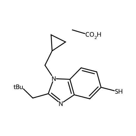 CC(=O)O.CC(C)(C)Cc1nc2cc(S)ccc2n1CC1CC1